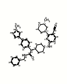 C[C@@H]1CN(c2nc(N[C@H]3CC[C@H](N(C(=O)NCc4ccccc4)c4ccc(-c5cnn(C)c5)cn4)CC3)ncc2C#N)CCO1